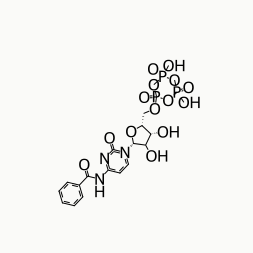 O=C(Nc1ccn([C@@H]2O[C@H](COP3(=O)OP(=O)(O)OP(=O)(O)O3)[C@H](O)C2O)c(=O)n1)c1ccccc1